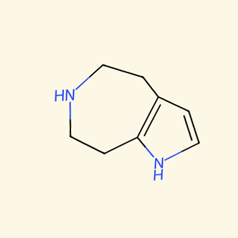 c1cc2c([nH]1)CCNCC2